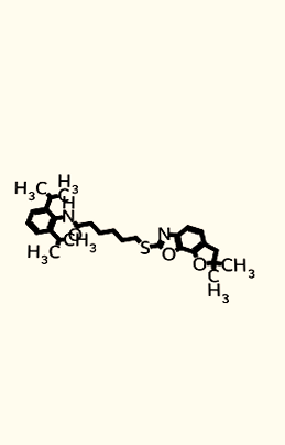 CC(C)c1cccc(C(C)C)c1NC(=O)CCCCCSc1nc2ccc3c(c2o1)OC(C)(C)C3